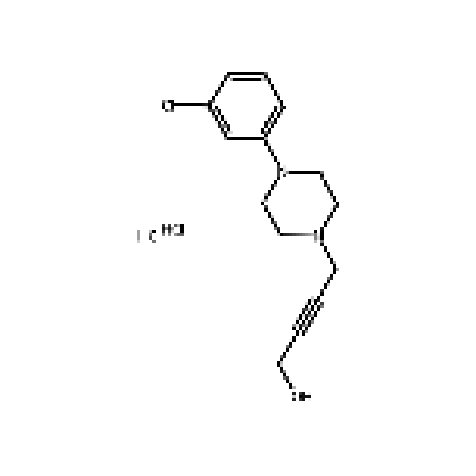 Cl.Cl.OCC#CCN1CCN(c2cccc(Cl)c2)CC1